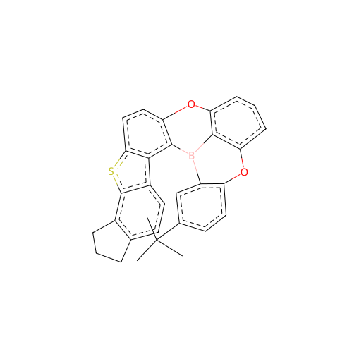 CC(C)(C)c1ccc2c(c1)B1c3c(cccc3Oc3ccc4sc5c6c(ccc5c4c31)CCC6)O2